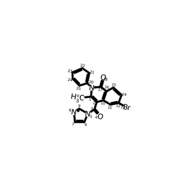 Cc1c(C(=O)n2ccnc2)c2cc(Br)ccc2c(=O)n1-c1ccccc1